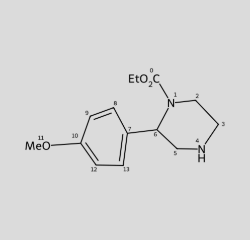 CCOC(=O)N1CCNCC1c1ccc(OC)cc1